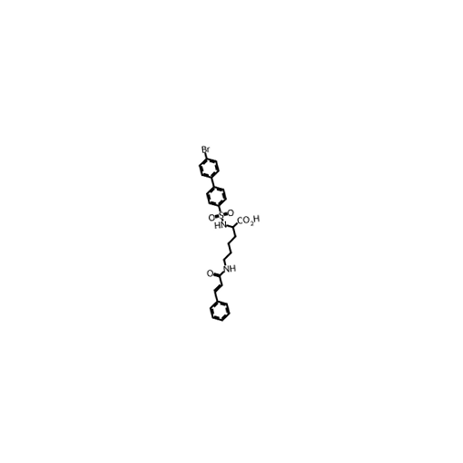 O=C(C=Cc1ccccc1)NCCCCC(NS(=O)(=O)c1ccc(-c2ccc(Br)cc2)cc1)C(=O)O